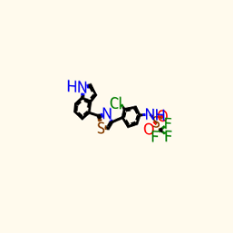 O=S(=O)(Nc1ccc(-c2csc(-c3cccc4[nH]ccc34)n2)c(Cl)c1)C(F)(F)F